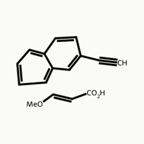 C#Cc1ccc2ccccc2c1.COC=CC(=O)O